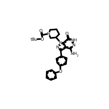 CC(C)(C)OC(=O)N1CCCC(n2nc(-c3ccc(Oc4ccccc4)cc3)c3c(N)n[nH]c(=O)c32)C1